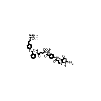 CCOP(=O)(OCC)OCCc1ccc(OC(=O)c2ccccc2NC(=O)CC[C@H](NC(=O)c2ccc(NC(=O)c3cnc4[nH]c(N)nc(=O)c4n3)cc2)C(=O)O)cc1